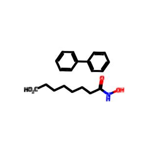 O=C(O)CCCCCCC(=O)NO.c1ccc(-c2ccccc2)cc1